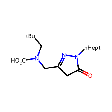 CCCCCCCN1N=C(CN(CC(C)(C)C)C(=O)O)CC1=O